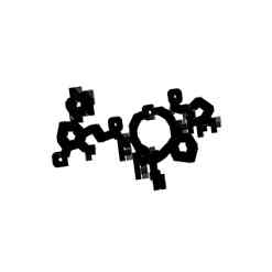 N#Cc1[nH]c2nc1-c1ccccc1N[C@@H](C(=O)N1CCC(F)(F)C1)CCCC[C@@H]2NC(=O)/C=C/c1c(-n2cnnn2)ccc(Cl)c1F